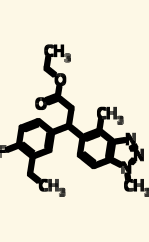 CCOC(=O)CC(c1ccc(F)c(CC)c1)c1ccc2c(nnn2C)c1C